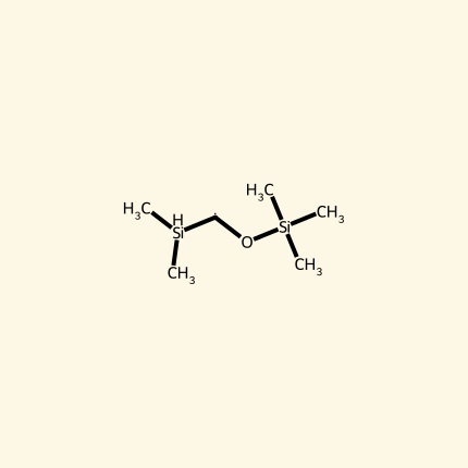 C[SiH](C)[CH]O[Si](C)(C)C